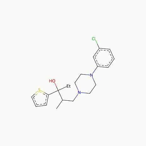 CCC(O)(c1cccs1)C(C)CN1CCN(c2cccc(Cl)c2)CC1